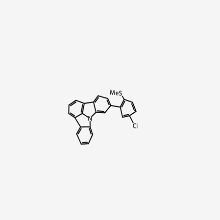 CSc1ccc(Cl)cc1-c1ccc2c3cccc4c5ccccc5n(c2c1)c43